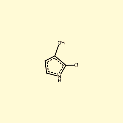 Oc1cc[nH]c1Cl